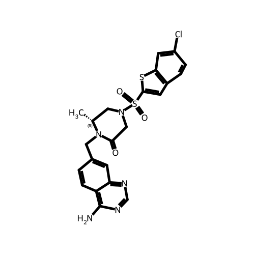 C[C@@H]1CN(S(=O)(=O)c2cc3ccc(Cl)cc3s2)CC(=O)N1Cc1ccc2c(N)ncnc2c1